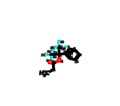 CCC(=O)OC(C1CC2C=CC1C2)(C(F)(F)F)C(F)(F)F